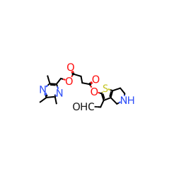 Cc1nc(C)c(COC(=O)CCC(=O)Oc2sc3c(c2CC=O)CNCC3)nc1C